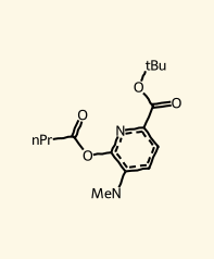 CCCC(=O)Oc1nc(C(=O)OC(C)(C)C)ccc1NC